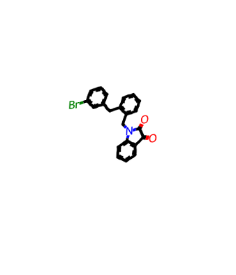 O=C1C(=O)N(Cc2ccccc2Cc2cccc(Br)c2)c2ccccc21